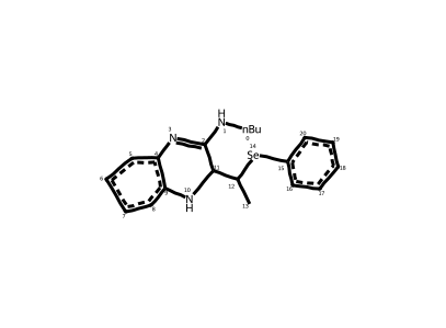 CCCCNC1=Nc2ccccc2NC1C(C)[Se]c1ccccc1